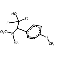 CCC(O)(CC)C(c1ccc(OC(F)(F)F)cc1)N(C(=O)O)C(C)(C)C